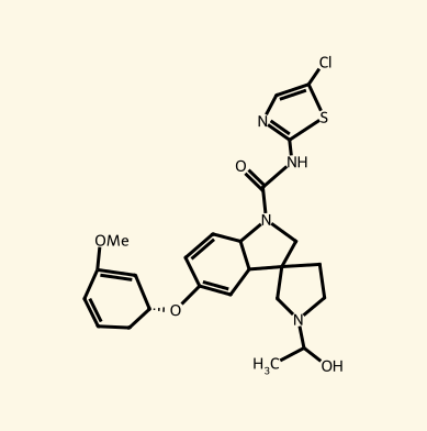 COC1=C[C@H](OC2=CC3C(C=C2)N(C(=O)Nc2ncc(Cl)s2)CC32CCN(C(C)O)C2)CC=C1